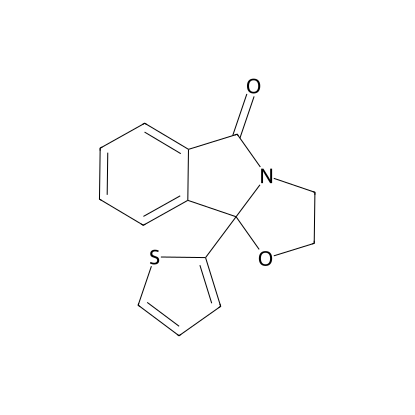 O=C1c2ccccc2C2(c3cccs3)OCCN12